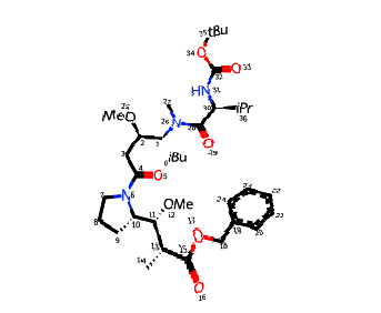 CC[C@H](C)[C@@H]([C@@H](CC(=O)N1CCC[C@H]1[C@H](OC)[C@@H](C)C(=O)OCc1ccccc1)OC)N(C)C(=O)[C@@H](NC(=O)OC(C)(C)C)C(C)C